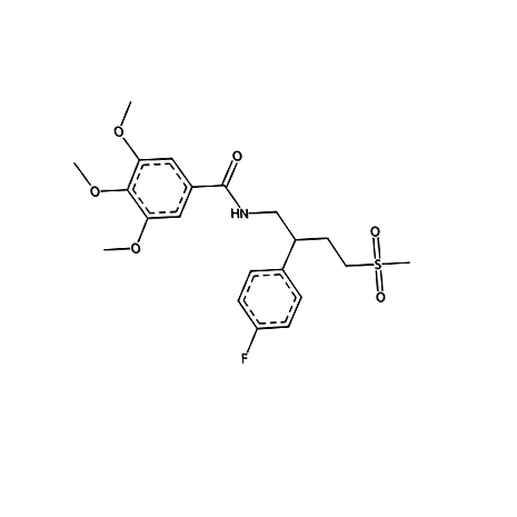 COc1cc(C(=O)NCC(CCS(C)(=O)=O)c2ccc(F)cc2)cc(OC)c1OC